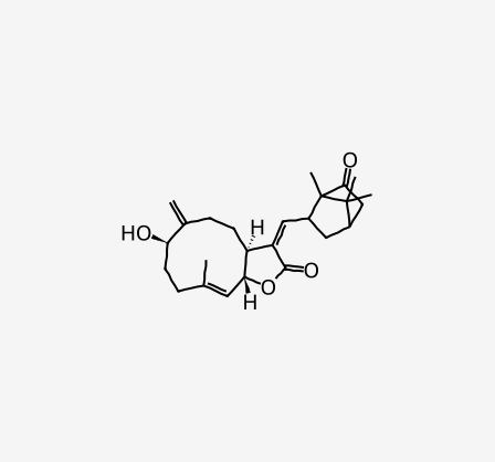 C=C1CC[C@H]2/C(=C/C3CC4CC(=O)C3(C)C4(C)C)C(=O)O[C@@H]2/C=C(\C)CC[C@H]1O